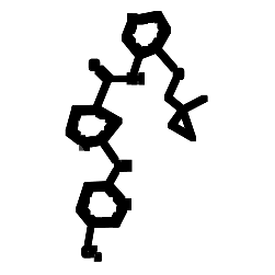 CC1(COc2ccncc2NC(=O)c2ccnc(Nc3ccc(C(F)(F)F)cn3)c2)CC1